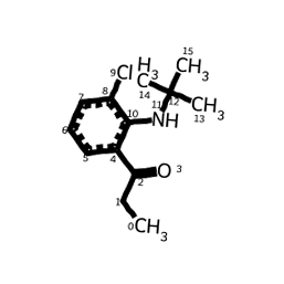 CCC(=O)c1cccc(Cl)c1NC(C)(C)C